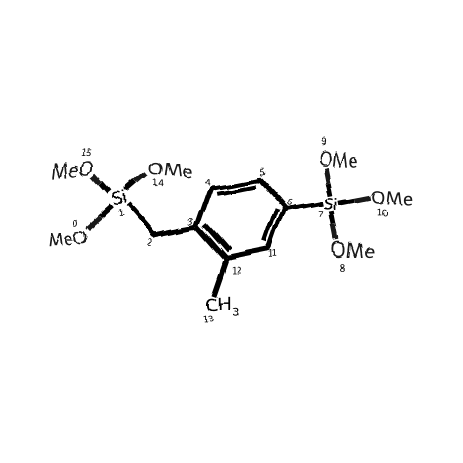 CO[Si](Cc1ccc([Si](OC)(OC)OC)cc1C)(OC)OC